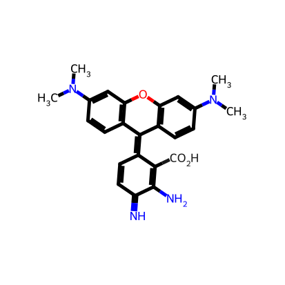 CN(C)c1ccc2c(c1)Oc1cc(N(C)C)ccc1C2=C1C=CC(=N)C(N)=C1C(=O)O